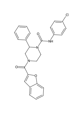 O=C(c1cc2ccccc2o1)N1CCN(C(=O)Nc2ccc(Cl)cc2)C(c2ccccc2)C1